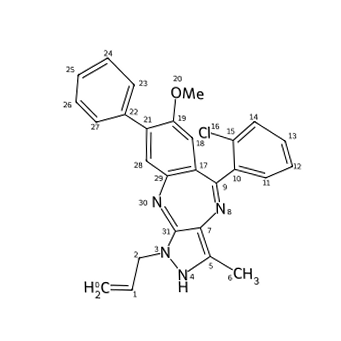 C=CCN1NC(C)=C2N=C(c3ccccc3Cl)c3cc(OC)c(-c4ccccc4)cc3N=C21